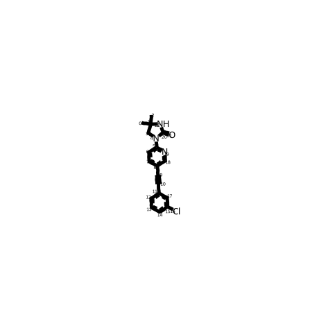 CC1(C)CN(c2ccc(C#Cc3cccc(Cl)c3)cn2)C(=O)N1